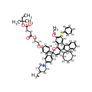 CCC(C)(C)OC(=O)CCC(=O)OCCOc1ccc(C2(c3ccc(N4CCC(C)CC4)cc3)C=Cc3c4c(c5cc(Sc6ccccc6)c(OC)cc5c3O2)-c2ccccc2C42CCCCCCC2)cc1